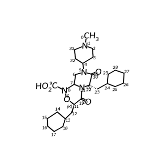 CN1CCC(N2CC3N(C(=O)O)O[C@H](CC4CCCCC4)C(=O)N3[C@@H](CC3CCCCC3)C2=O)CC1